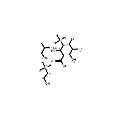 CC(O)CO.C[N+](C)(C)CC(O)CC(=O)O.C[N+](C)(C)CCO.OCC(O)CO